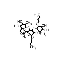 CCCCO[C@@H]1OC(CC)[C@@H](O[C@@H]2OC(CO)[C@H](O)C(O)C2C)C(O[C@@H]2OC(C)[C@@H](O)C(O)[C@@H]2OCCCC)C1O